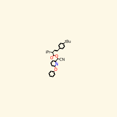 CC(C)C(C=Cc1ccc(C(C)(C)C)cc1)C(=O)OC(C#N)c1cccc(Oc2ccccc2)n1